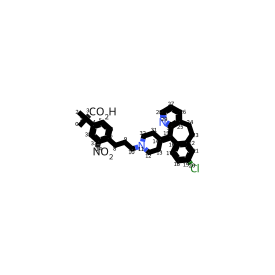 CC(C)(C(=O)O)c1ccc(CCCN2CCC(=C3c4ccc(Cl)cc4CCc4cccnc43)CC2)c([N+](=O)[O-])c1